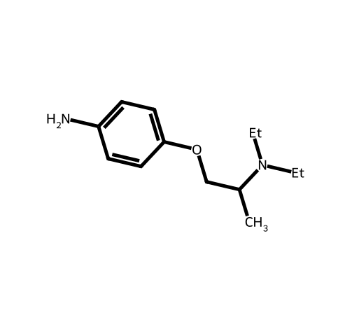 CCN(CC)C(C)COc1ccc(N)cc1